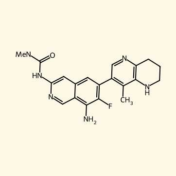 CNC(=O)Nc1cc2cc(-c3cnc4c(c3C)NCCC4)c(F)c(N)c2cn1